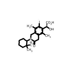 Cc1c(I)c([C@H](O)C(=O)O)c(C)c2c1CN(C1CCCCC1(C)C)C(=O)C2